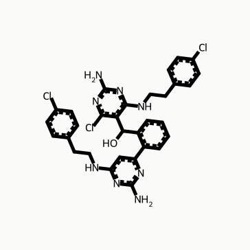 Nc1nc(NCCc2ccc(Cl)cc2)cc(-c2ccccc2C(O)c2c(Cl)nc(N)nc2NCCc2ccc(Cl)cc2)n1